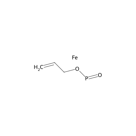 C=CCOP=O.[Fe]